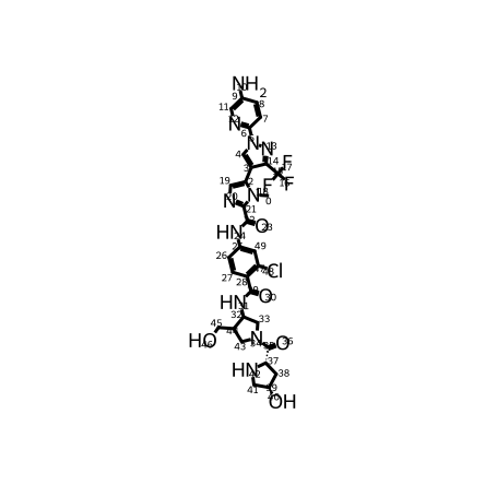 Cn1c(-c2cn(-c3ccc(N)cn3)nc2C(F)(F)F)cnc1C(=O)Nc1ccc(C(=O)NC2CN(C(=O)[C@@H]3C[C@@H](O)CN3)CC2CO)c(Cl)c1